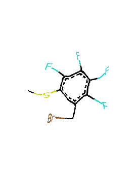 CSc1c(F)c(F)c(F)c(F)c1CBr